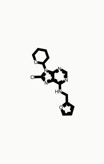 Clc1nc2c(NCc3ccco3)ncnc2n1C1CCCCO1